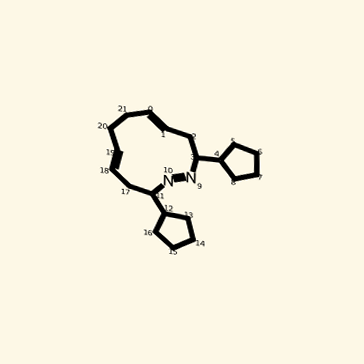 C1=C/CC(C2CCCC2)/N=N/C(C2CCCC2)C/C=C/CC/1